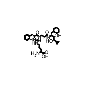 NC(CCCNC(=O)N[C@@H](Cc1ccccc1)C(=O)NCCC(=O)N[C@@H](CC1CCCCC1)[C@@H](O)[C@@H](O)C1CC1)C(=O)O